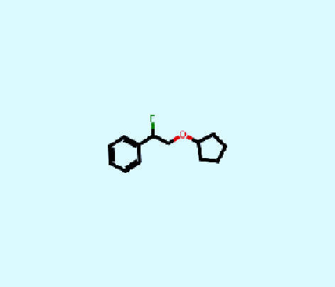 FC(COC1CCCC1)c1ccccc1